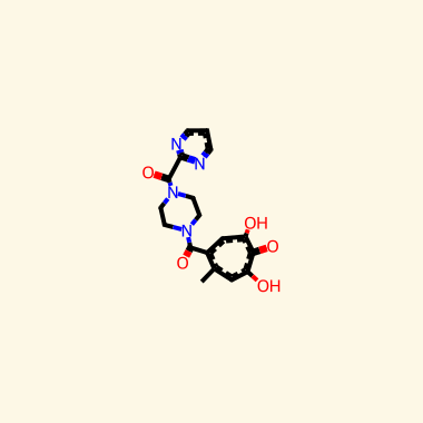 Cc1cc(O)c(=O)c(O)cc1C(=O)N1CCN(C(=O)c2ncccn2)CC1